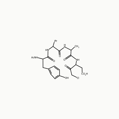 CC(=O)NC(Cc1ccc(O)cc1)C(=O)NC(C(=O)NC(C)C(=O)NC(CC(=O)O)C(=O)CCl)C(C)C